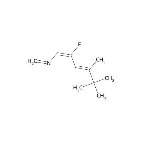 C=N/C=C(F)\C=C(/C)C(C)(C)C